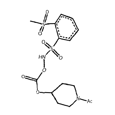 CC(=O)N1CCC(OC(=O)ONS(=O)(=O)c2ccccc2S(C)(=O)=O)CC1